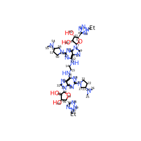 CCn1nnc([C@H]2O[C@@H](n3cnc4c(NCCNc5nc(N6CC[C@@H](N(C)C)C6)nc6c5ncn6[C@@H]5O[C@H](c6nnn(CC)n6)[C@@H](O)[C@H]5O)nc(N5CC[C@@H](N(C)C)C5)nc43)[C@H](O)[C@@H]2O)n1